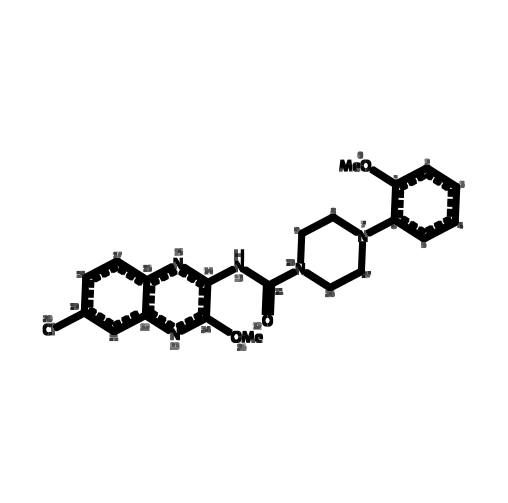 COc1ccccc1N1CCN(C(=O)Nc2nc3ccc(Cl)cc3nc2OC)CC1